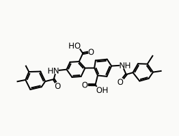 Cc1ccc(C(=O)Nc2ccc(-c3ccc(NC(=O)c4ccc(C)c(C)c4)cc3C(=O)O)c(C(=O)O)c2)cc1C